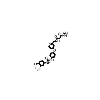 O=C(CC(=O)NCc1cc(Oc2ccc(NC(=O)Nc3ccc(Cl)c(C(F)(F)F)c3)cc2)ccn1)NO